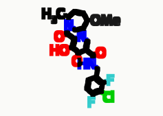 CO[C@@H]1C=C[C@H](C)N2CC1n1cc(C(=O)NCc3ccc(F)c(Cl)c3F)c(=O)c(O)c1C2=O